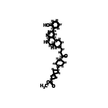 COC(=O)[C@H]1CC2(C1)C[C@H](N1CCN(C(=O)CCN3CCN4c5cc(-c6ccccc6O)nnc5NC[C@H]4C3)CC1)C2